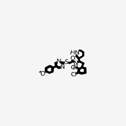 COc1ccc(-c2cnc(SCC(=O)NC(Cc3cccc(Cl)c3Cl)C3CCCNC3)nc2)cc1